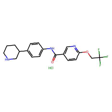 Cl.O=C(Nc1ccc(C2CCCNC2)cc1)c1ccc(OCC(F)(F)F)nc1